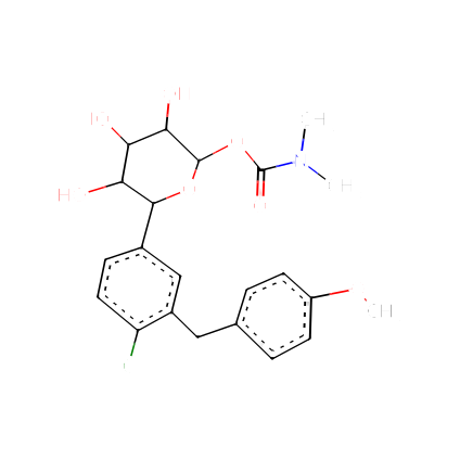 COc1ccc(Cc2cc(C3OC(OC(=O)N(C)C)C(O)C(O)C3O)ccc2Cl)cc1